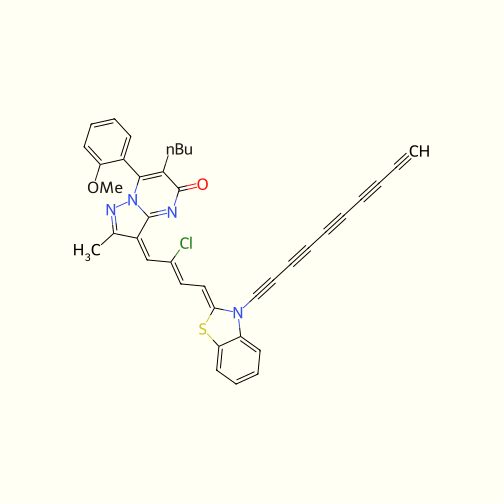 C#CC#CC#CC#CC#CN1/C(=C/C=C(Cl)/C=c2/c(C)nn3c(-c4ccccc4OC)c(CCCC)c(=O)nc23)Sc2ccccc21